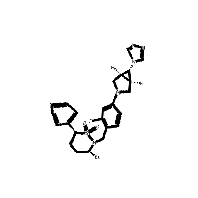 CC[C@H]1CC[C@@H](c2ccccc2)S(=O)(=O)N1Cc1ccc(N2C[C@@H]3[C@H](C2)[C@H]3n2cnnc2)cc1F